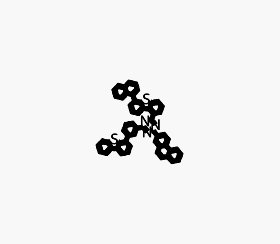 c1cc(-c2nc(-c3ccc4c(ccc5ccccc54)c3)nc(-c3cccc4sc5c(-c6cccc7ccccc67)cccc5c34)n2)cc(-c2cccc3c2sc2ccccc23)c1